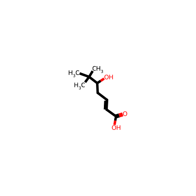 CC(C)(C)C(O)CC=CC(=O)O